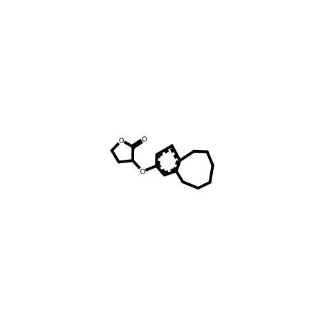 O=C1OCCC1Oc1ccc2c(c1)CCCCCC2